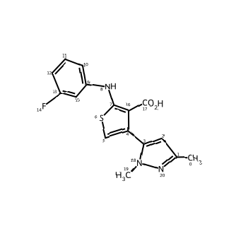 Cc1cc(-c2csc(Nc3cccc(F)c3)c2C(=O)O)n(C)n1